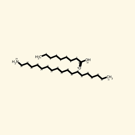 CCCCCCCCC(=O)O.CCCCCCCCCCCCCCCCCCN